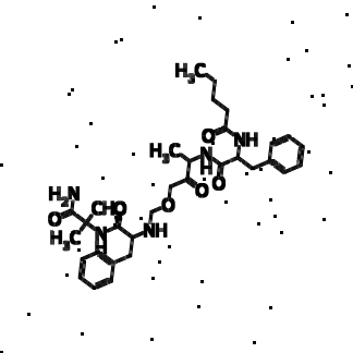 CCCCC(=O)NC(Cc1ccccc1)C(=O)NC(C)C(=O)COCNC(Cc1ccccc1)C(=O)NC(C)(C)C(N)=O